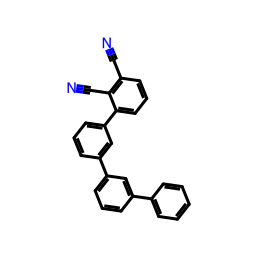 N#Cc1cccc(-c2cccc(-c3cccc(-c4ccccc4)c3)c2)c1C#N